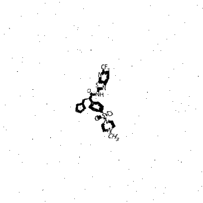 CN1CCN(S(=O)(=O)c2ccc([C@@H](CC3CCCC3)C(=O)Nc3nc4ccc(C(F)(F)F)nc4s3)cc2)CC1